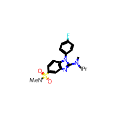 CNS(=O)(=O)c1ccc2c(c1)nc(N(C)C(C)C)n2-c1ccc(F)cc1